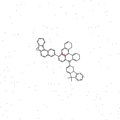 CC1(C)C2=CC=C(N(C3=CCCC=C3c3cccc4c3CCC=C4)c3ccc(-c4ccc5c(ccc6oc7ccccc7c65)c4)cc3)CC2c2ccccc21